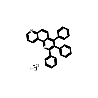 Cl.Cl.c1ccc(-c2nc3c(ccc4ncccc43)c(-c3ccccc3)c2-c2ccccc2)cc1